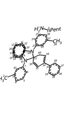 CCCCCN.Cc1cccc(N(c2ccccc2)C2(N(c3ccccc3)c3cccc(C)c3)C=CC(c3ccccc3)=CC2)c1